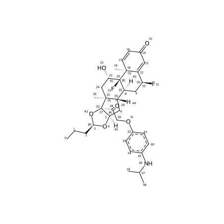 CCC[C@@H]1O[C@@H]2C[C@H]3[C@@H]4C[C@H](F)C5=CC(=O)C=C[C@]5(C)[C@@]4(F)[C@@H](O)C[C@]3(C)[C@]2(C(=O)COc2ccc(NC(C)C)cc2)O1